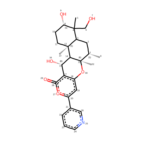 C[C@H]1CC2C(C)(CO)[C@@H](O)CC[C@]2(C)C2[C@@H](O)c3c(cc(-c4cccnc4)oc3=O)O[C@@]21C